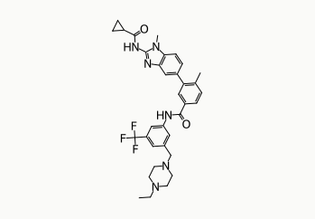 CCN1CCN(Cc2cc(NC(=O)c3ccc(C)c(-c4ccc5c(c4)nc(NC(=O)C4CC4)n5C)c3)cc(C(F)(F)F)c2)CC1